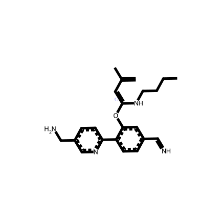 C=C(C)/C=C(\NCCCC)Oc1cc(C=N)ccc1-c1ccc(CN)cn1